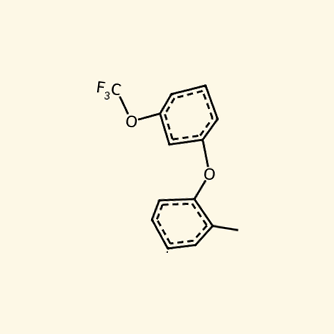 Cc1c[c]ccc1Oc1cccc(OC(F)(F)F)c1